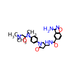 CN(C)CC(=O)N(C)c1ccc(N2CC(CNC(=O)c3ccc4onc(N)c4c3)CC2=O)cc1